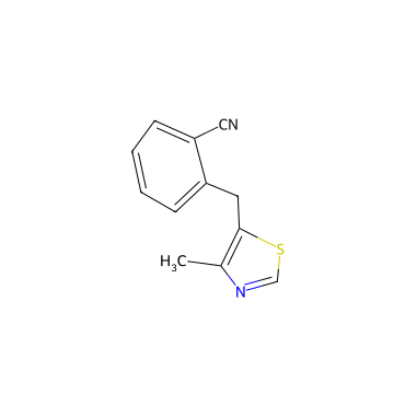 Cc1ncsc1Cc1ccccc1C#N